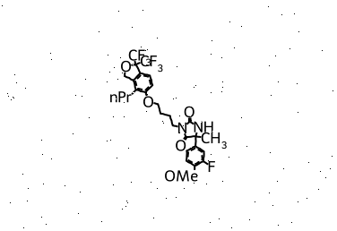 CCCc1c(OCCCCN2C(=O)NC(C)(c3ccc(OC)c(F)c3)C2=O)ccc2c1COC2(C(F)(F)F)C(F)(F)F